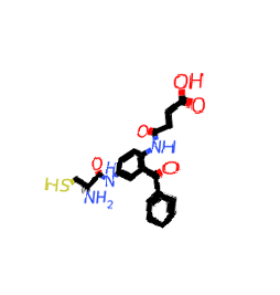 N[C@@H](CS)C(=O)Nc1ccc(NC(=O)CCC(=O)O)c(C(=O)c2ccccc2)c1